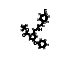 CC(C)(C)OC(=O)N1C[C@@H](Oc2ccccc2)CC1CNCCc1ccc(F)cc1